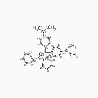 CN(C)c1ccc(C(OCc2ccccc2)(c2ccccc2)c2ccc(N(C)C)cc2)cc1